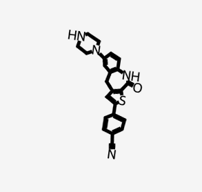 N#Cc1ccc(-c2cc3c(s2)C(=O)Nc2ccc(N4CCNCC4)cc2C3)cc1